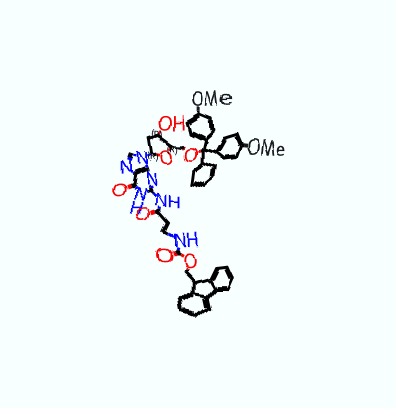 COc1ccc(C(OC[C@H]2O[C@@H](n3cnc4c(=O)[nH]c(NC(=O)CCNC(=O)OCC5c6ccccc6-c6ccccc65)nc43)C[C@H]2O)(c2ccccc2)c2ccc(OC)cc2)cc1